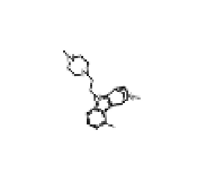 Cc1cccc2c1c1c(n2CCN2CCN(C)CC2)C2=CN(C)C1C2